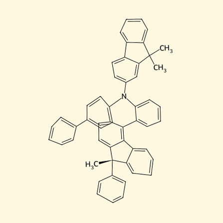 CC1(C)c2ccccc2-c2ccc(N(c3ccc(-c4ccccc4)cc3)c3ccccc3-c3cccc4c3-c3ccccc3[C@]4(C)c3ccccc3)cc21